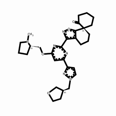 CN1CCC[C@H]1COc1cc(-c2ccn(C[C@H]3CCOC3)n2)nc(-c2noc3c2CCC[C@@]32CCCCC2=O)n1